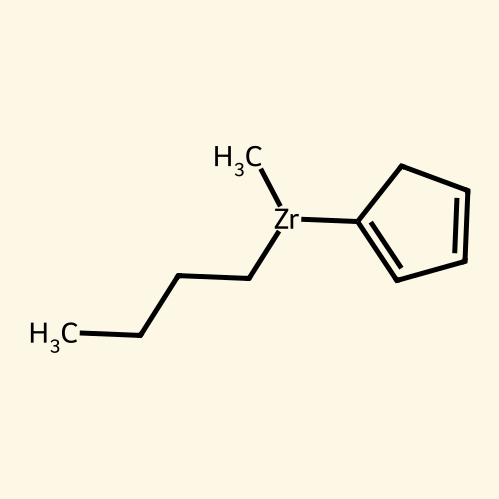 CCC[CH2][Zr]([CH3])[C]1=CC=CC1